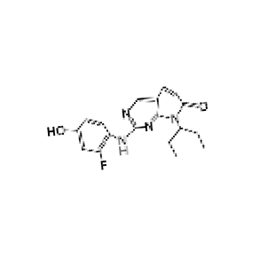 CCC(CC)n1c(=O)ccc2cnc(Nc3ccc(O)cc3F)nc21